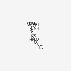 CCN(O)C(=N)/C(=N\OCc1csc(NC(=O)OCCc2ccccc2)n1)c1ccccc1